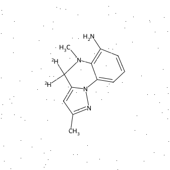 [2H]C1([2H])c2cc(C)nn2-c2cccc(N)c2N1C